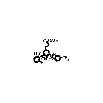 COC(=O)CCc1cc(-n2nc3ccc(C(F)(F)F)cc3n2)c(O)c(C(C)(C)c2ccccc2F)c1